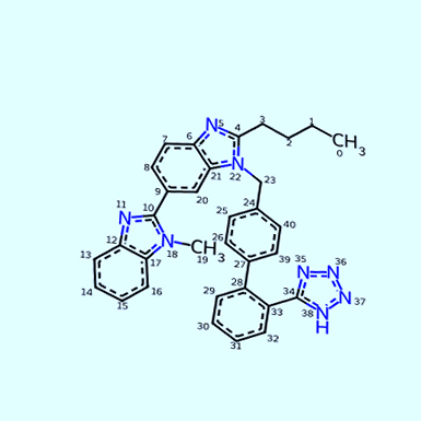 CCCCc1nc2ccc(-c3nc4ccccc4n3C)cc2n1Cc1ccc(-c2ccccc2-c2nnn[nH]2)cc1